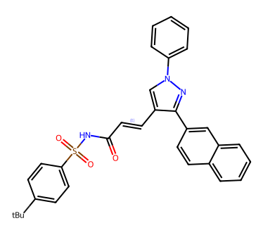 CC(C)(C)c1ccc(S(=O)(=O)NC(=O)/C=C/c2cn(-c3ccccc3)nc2-c2ccc3ccccc3c2)cc1